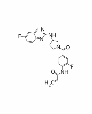 C=CC(=O)Nc1ccc(C(=O)N2CCC(Nc3ncc4cc(F)ccc4n3)C2)cc1F